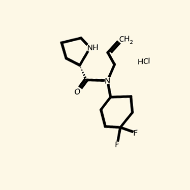 C=CCN(C(=O)[C@@H]1CCCN1)C1CCC(F)(F)CC1.Cl